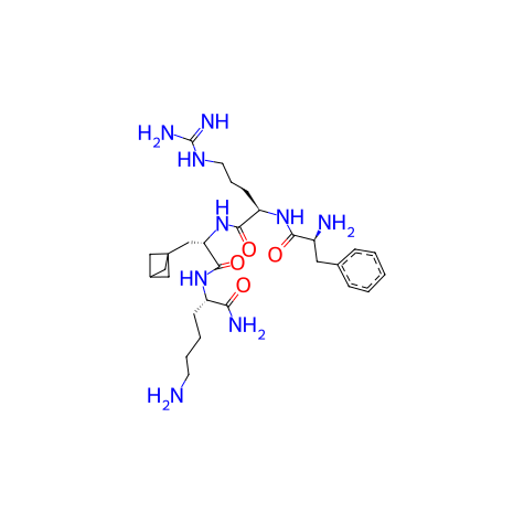 N=C(N)NCCC[C@@H](NC(=O)[C@@H](N)Cc1ccccc1)C(=O)N[C@@H](CC12CC(C1)C2)C(=O)N[C@@H](CCCCN)C(N)=O